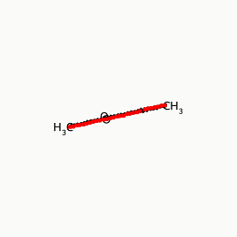 CCCCCCCCC=CCCCCCCCCCCCC(=O)OCCCCCCCCCCCCCCCCCCCCCCCCCCCCCCCCCCCC